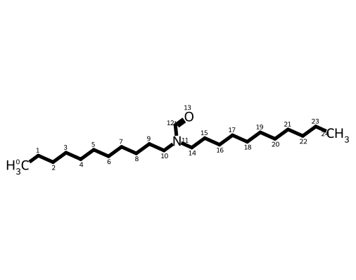 CCCCCCCCCCCN([C]=O)CCCCCCCCCCC